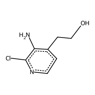 Nc1c(CCO)ccnc1Cl